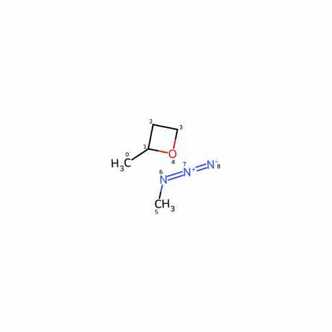 CC1CCO1.CN=[N+]=[N-]